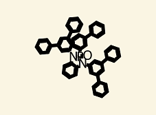 O=P1(c2cccc(-c3ccccc3)c2)N(c2cc(-c3ccccc3)cc(-c3ccccc3)c2)c2ccccc2N1c1cc(-c2ccccc2)cc(-c2ccccc2)c1